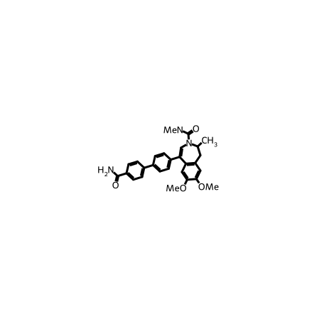 CNC(=O)N1C=C(c2ccc(-c3ccc(C(N)=O)cc3)cc2)c2cc(OC)c(OC)cc2CC1C